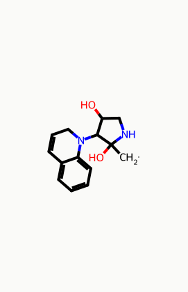 [CH2]C1(O)NCC(O)C1N1CC=Cc2ccccc21